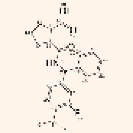 CC(C)c1ccc(C(NC(=O)C2CCCC2C(=O)O)c2ccccc2)cc1F